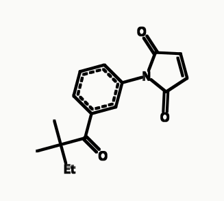 CCC(C)(C)C(=O)c1cccc(N2C(=O)C=CC2=O)c1